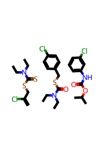 C=C(Cl)CSC(=S)N(CC)CC.CC(C)OC(=O)Nc1cccc(Cl)c1.CCN(CC)C(=O)SCc1ccc(Cl)cc1